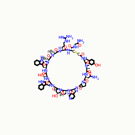 CCCC[C@H]1C(=O)N(C)[C@@H](CCCC)C(=O)N[C@@H](CCCNC(=N)N)C(=O)N[C@H](C(=O)NCC(N)=O)CSCC(=O)N[C@@H](Cc2ccc(O)cc2)C(=O)N(C)[C@@H](C)C(=O)N[C@@H](CC(N)=O)C(=O)N2CCC[C@H]2C(=O)N[C@@H](Cc2ccncc2)C(=O)N[C@@H](CC(C)C)C(=O)N2C[C@H](O)C[C@H]2C(=O)N[C@@H](Cc2c[nH]c3ccccc23)C(=O)N[C@@H](CO)C(=O)N[C@@H](Cc2c[nH]c3ccccc23)C(=O)N1C